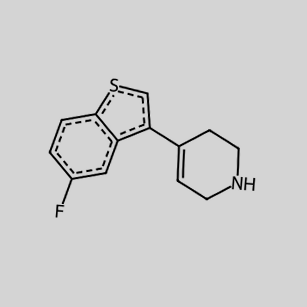 Fc1ccc2scc(C3=CCNCC3)c2c1